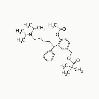 CC(=O)Oc1ccc(COC(=O)C(C)(C)C)cc1C(CCCCN(C(C)C)C(C)C)c1ccccc1